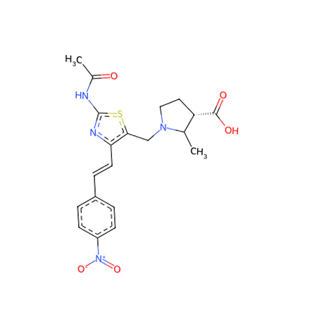 CC(=O)Nc1nc(C=Cc2ccc([N+](=O)[O-])cc2)c(CN2CC[C@H](C(=O)O)C2C)s1